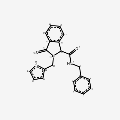 O=C(NCc1ccccc1)C1c2ccccc2C(=O)N1Cc1cccs1